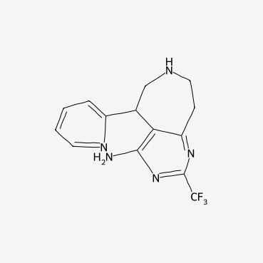 Nc1nc(C(F)(F)F)nc2c1C(c1ccccn1)CNCC2